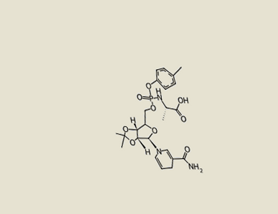 Cc1ccc(OP(=O)(N[C@@H](C)C(=O)O)OCC2O[C@@H](N3C=CCC(C(N)=O)=C3)[C@@H]3OC(C)(C)O[C@H]23)cc1